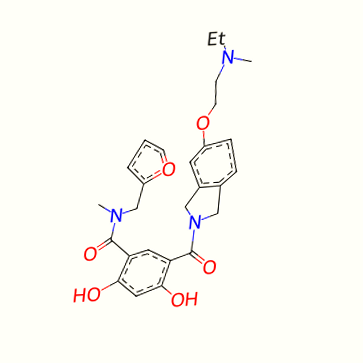 CCN(C)CCOc1ccc2c(c1)CN(C(=O)c1cc(C(=O)N(C)Cc3ccco3)c(O)cc1O)C2